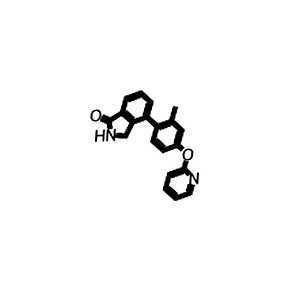 Cc1cc(Oc2ccccn2)ccc1-c1cccc2c1CNC2=O